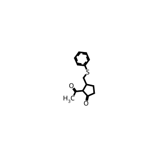 CC(=O)C1C(=O)CCC1CSc1ccccc1